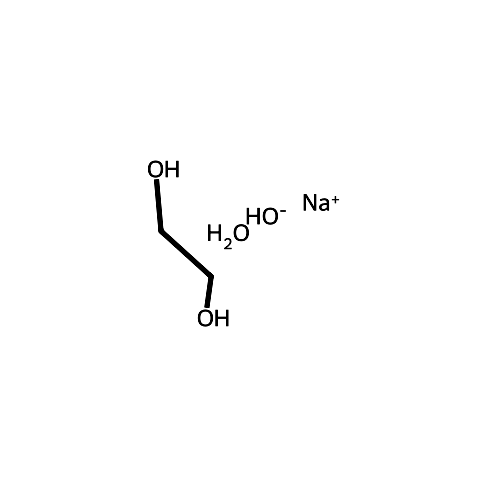 O.OCCO.[Na+].[OH-]